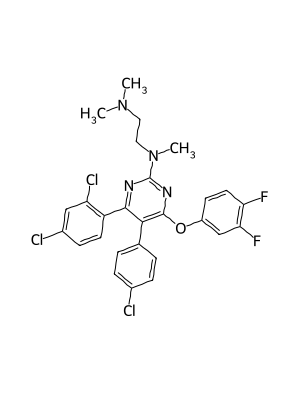 CN(C)CCN(C)c1nc(Oc2ccc(F)c(F)c2)c(-c2ccc(Cl)cc2)c(-c2ccc(Cl)cc2Cl)n1